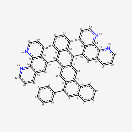 c1ccc(-c2cc3ccccc3c3cc4c(-c5cc6cccnc6c6ncccc56)c5ccccc5c(-c5cc6cccnc6c6ncccc56)c4cc23)cc1